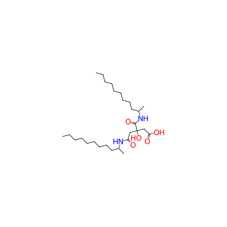 CCCCCCCCCC(C)NC(=O)CC(O)(CC(=O)O)C(=O)NC(C)CCCCCCCCC